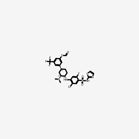 CN(C)[C@H]1C[C@@H](c2cc(OC=O)cc(C(F)(F)F)c2)CC[C@@H]1Nc1cc(F)c(S(=O)(=O)Nc2nccs2)cc1Cl